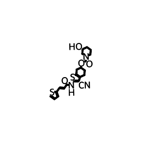 N#Cc1c(NC(=O)C=Cc2cccs2)sc2c1CCC(OC(=O)N1CCCC(O)C1)C2